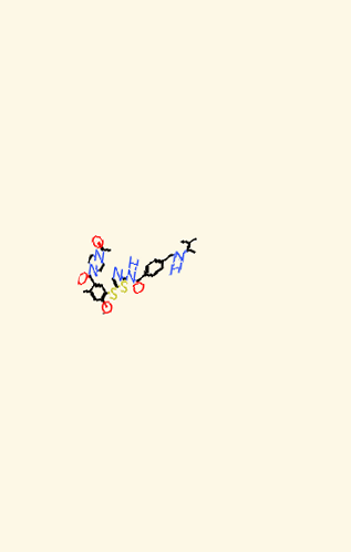 COc1cc(C)c(C(=O)N2CCN(C(C)=O)CC2)cc1Sc1cnc(NC(=O)c2ccc(CNC(C)C(C)C)cc2)s1